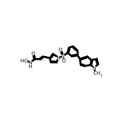 Cn1ccc2cc(-c3cccc(S(=O)(=O)n4ccc(/C=C/C(=O)NO)c4)c3)ccc21